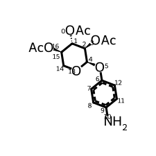 CC(=O)O[C@@H]1[C@@H](OC(C)=O)[C@@H](Oc2ccc(N)cc2)OC[C@H]1OC(C)=O